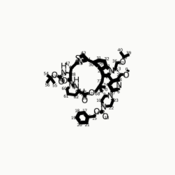 CO[C@@H](C)c1ncc(N2CCN(C(=O)OCc3ccccc3)CC2)cc1-c1c2c3cc(ccc3n1CCOC(C)C)-c1csc(n1)[C@@H](C)[C@H](NC(=O)OC(C)(C)C)C(=O)N1CCC[C@H](N1)C(=O)OCC(C)(C)C2